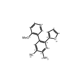 COc1ccncc1-c1cc(C#N)c(N)nc1-c1ccco1